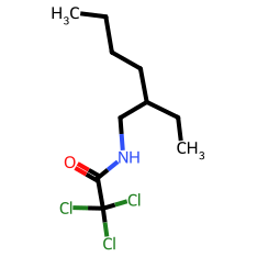 CCCCC(CC)CNC(=O)C(Cl)(Cl)Cl